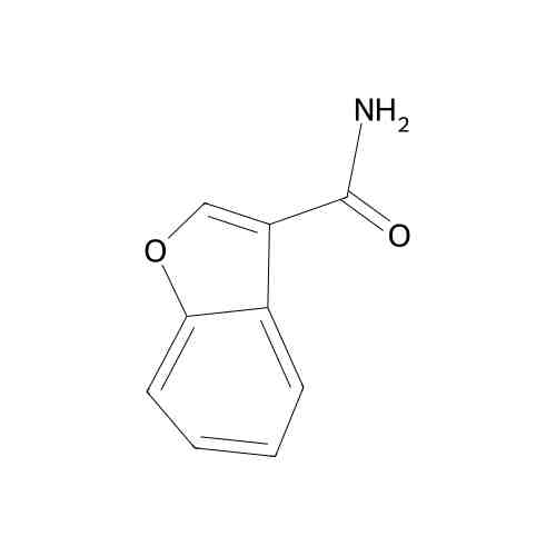 NC(=O)c1coc2ccccc12